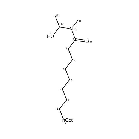 CCCCCCCCCCCCCCCC(=O)N(C)C(C)O